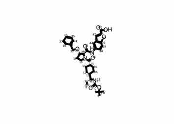 CC(C)(C)OC(=O)N[C@H](CF)[C@H]1CC[C@H](C(=O)N2CC[C@H](OCc3ccccc3)[C@H]2C(=O)Nc2ccc3oc(C(=O)O)cc3c2)CC1